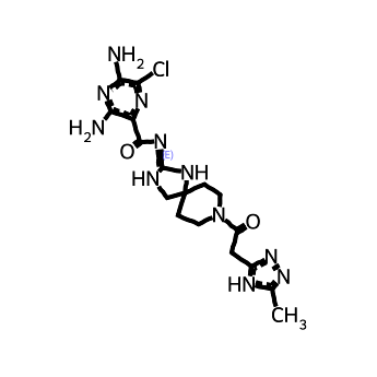 Cc1nnc(CC(=O)N2CCC3(CC2)CN/C(=N\C(=O)c2nc(Cl)c(N)nc2N)N3)[nH]1